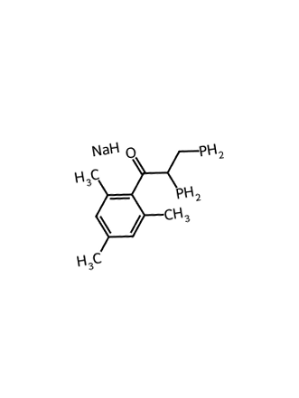 Cc1cc(C)c(C(=O)C(P)CP)c(C)c1.[NaH]